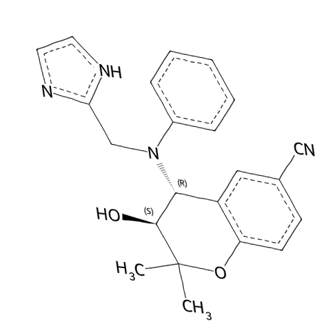 CC1(C)Oc2ccc(C#N)cc2[C@@H](N(Cc2ncc[nH]2)c2ccccc2)[C@@H]1O